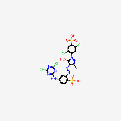 Cc1nn(-c2cc(Cl)c(S(=O)(=O)O)cc2Cl)c(O)c1/N=N/c1cc(Nc2nc(Cl)nc(Cl)n2)ccc1S(=O)(=O)O